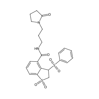 O=C(NCCCN1CCCC1=O)c1cccc2c1C(S(=O)(=O)c1ccccc1)CS2(=O)=O